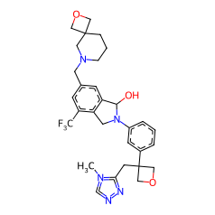 Cn1cnnc1CC1(c2cccc(N3Cc4c(cc(CN5CCCC6(COC6)C5)cc4C(F)(F)F)C3O)c2)COC1